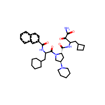 NC(=O)C(=O)C(CC1CCC1)NC(=O)[C@@H]1C[C@@H](N2CCCCC2)CN1C(=O)C(CC1CCCCC1)NC(=O)c1ccc2ccccc2c1